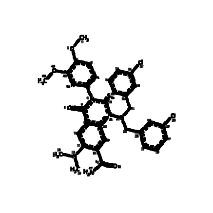 COc1ccc(-n2c(=O)c3cc(N(C)C)c(C(N)=O)cc3n(N(Cc3cccc(Cl)c3)Cc3cccc(Cl)c3)c2=S)nc1OC